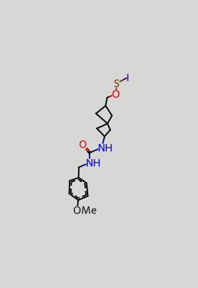 COc1ccc(CNC(=O)NC2CC3(CC(COSI)C3)C2)cc1